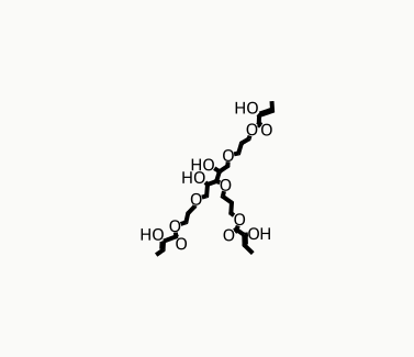 CC=C(O)C(=O)OCCCOCC(O)C(OCCCOC(=O)C(O)=CC)C(O)COCCCOC(=O)C(O)=CC